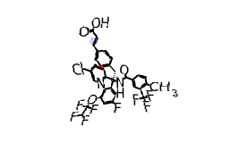 Cc1ccc(C(=O)N[C@@](Cc2ccc(/C=C/C(=O)O)cc2)(c2cc(F)cc(OC(F)(F)C(F)F)c2)c2ccc(Cl)cn2)cc1C(F)(F)F